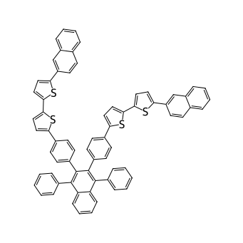 c1ccc(-c2c(-c3ccc(-c4ccc(-c5ccc(-c6ccc7ccccc7c6)s5)s4)cc3)c(-c3ccc(-c4ccc(-c5ccc(-c6ccc7ccccc7c6)s5)s4)cc3)c(-c3ccccc3)c3ccccc23)cc1